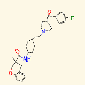 CC1(C(=O)NC2CCC(CCN3CCC(C(=O)c4ccc(F)cc4)CC3)CC2)COc2ccccc2C1